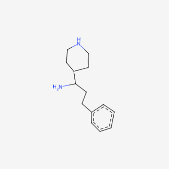 NC(CCc1ccccc1)C1CCNCC1